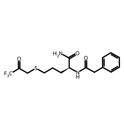 NC(=O)[C@H](CCCSCC(=O)C(F)(F)F)NC(=O)Cc1ccccc1